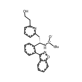 CC(C)(C)[S+]([O-])N[C@@H](Cc1cccc(CCO)n1)c1ccccc1-c1noc2ccccc12